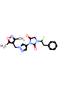 Cc1noc(C)c1Cn1cc(N2C(=O)CN(C(F)Cc3ccccc3)C2=O)cn1